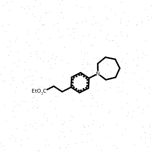 CCOC(=O)CCc1ccc(N2CCCCCC2)cc1